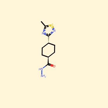 Cc1nc([C@H]2CC[C@H](C(=O)NN)CC2)ns1